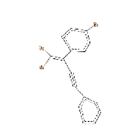 BrC(Br)=C(C#Cc1ccccc1)c1ccc(Br)cc1